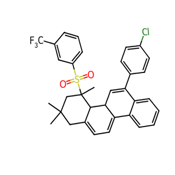 CC1(C)CC2=CC=C3c4ccccc4C(c4ccc(Cl)cc4)=CC3C2C(C)(S(=O)(=O)c2cccc(C(F)(F)F)c2)C1